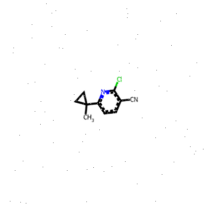 CC1(c2ccc(C#N)c(Cl)n2)CC1